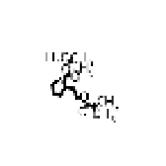 C=C(C)C(=O)OCCC1CCCCN1C(=O)OC(C)(C)C